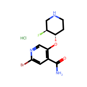 Cl.NC(=O)c1cc(Br)ncc1O[C@H]1CCNC[C@@H]1F